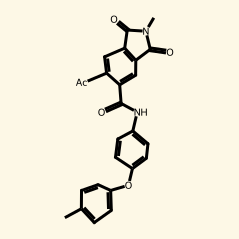 CC(=O)c1cc2c(cc1C(=O)Nc1ccc(Oc3ccc(C)cc3)cc1)C(=O)N(C)C2=O